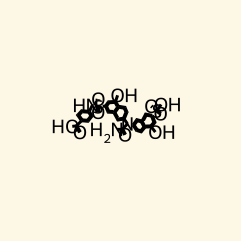 NC(=O)N(c1ccc2c(O)cc(S(=O)(=O)O)cc2c1)c1ccc2c(O)cc(S(=O)(=O)Nc3ccc(C(=O)O)cc3)cc2c1